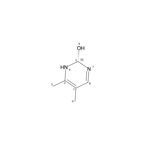 CC1=C(C)N[C@H](O)N=C1